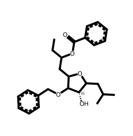 CCC(CC1OC(CC(C)C)[C@H](O)C1OCc1ccccc1)OC(=O)c1ccccc1